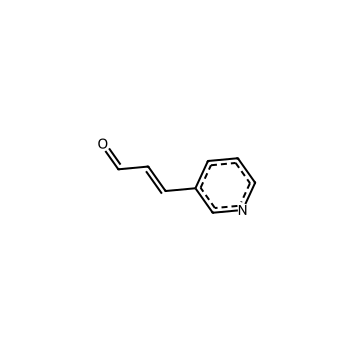 O=CC=Cc1cccnc1